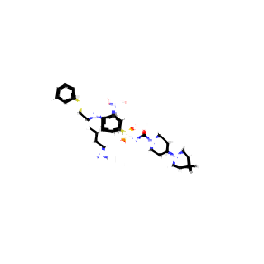 CN(C)CCCC[C@H](CSc1ccccc1)Nc1ccc(S(=O)(=O)NC(=O)N2CCC(N3CCC(C)(C)CC3)CC2)cc1[N+](=O)[O-]